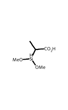 CO[SiH](OC)C(C)C(=O)O